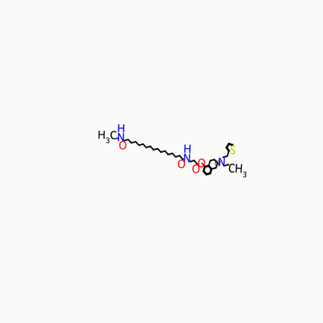 CCCN(CCc1cccs1)[C@H]1CCc2c(cccc2OC(=O)CCNC(=O)CCCCCCCCCCCCCCCC(=O)NCC)C1